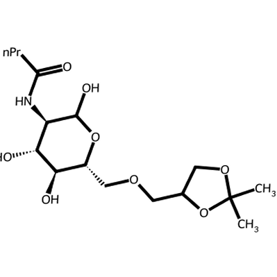 CCCC(=O)N[C@H]1C(O)O[C@H](COCC2COC(C)(C)O2)[C@@H](O)[C@@H]1O